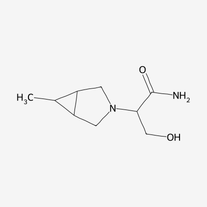 CC1C2CN(C(CO)C(N)=O)CC12